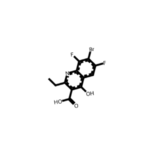 CCc1nc2c(F)c(Br)c(F)cc2c(O)c1C(=O)O